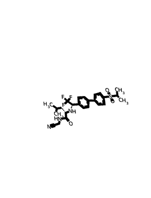 CC(C)C[C@H](N[C@@H](c1ccc(-c2ccc(S(=O)(=O)C(C)C)cc2)cc1)C(F)(F)F)C(=O)NCC#N